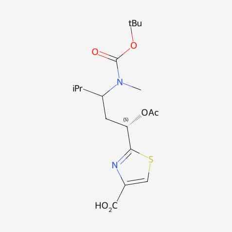 CC(=O)O[C@@H](CC(C(C)C)N(C)C(=O)OC(C)(C)C)c1nc(C(=O)O)cs1